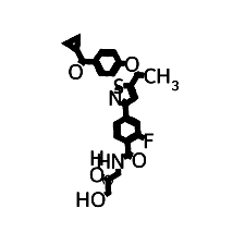 CC(Oc1ccc(C(=O)C2CC2)cc1)c1cc(-c2ccc(C(=O)NC[C@H](O)CO)c(F)c2)ns1